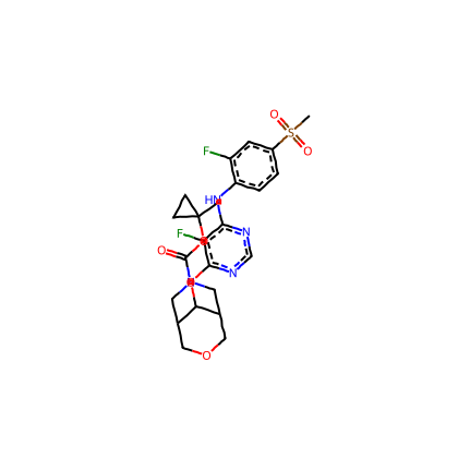 CC1(OC(=O)N2CC3COCC(C2)C3Oc2ncnc(Nc3ccc(S(C)(=O)=O)cc3F)c2F)CC1